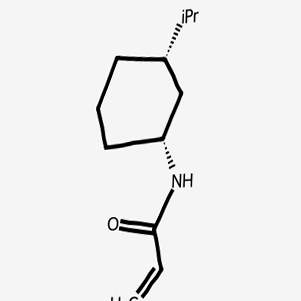 C=CC(=O)N[C@@H]1CCC[C@H](C(C)C)C1